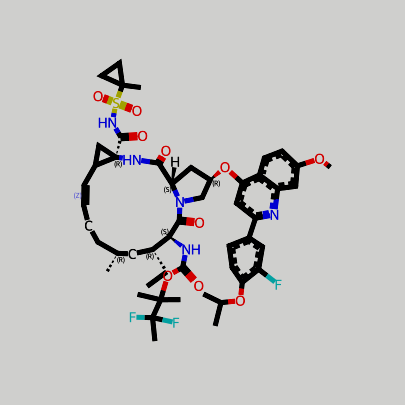 CC[C@@H]1C[C@H](C)CC/C=C\C2C[C@@]2(C(=O)NS(=O)(=O)C2(C)CC2)NC(=O)[C@@H]2C[C@@H](Oc3cc(-c4ccc(OC(C)C)c(F)c4)nc4cc(OC)ccc34)CN2C(=O)[C@H]1NC(=O)OC(C)(C)C(C)(F)F